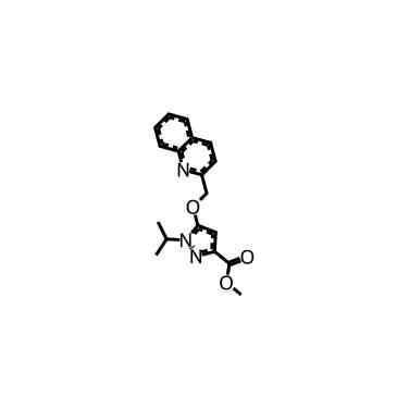 COC(=O)c1cc(OCc2ccc3ccccc3n2)n(C(C)C)n1